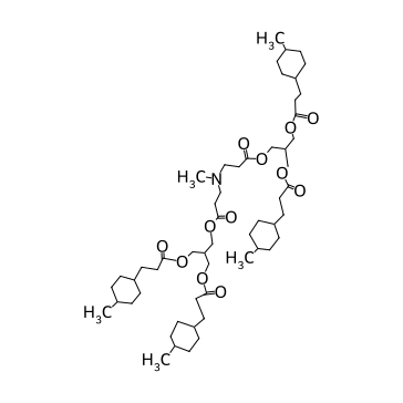 CC1CCC(CCC(=O)OCC(COC(=O)CCC2CCC(C)CC2)COC(=O)CCN(C)CCC(=O)OCC(COC(=O)CCC2CCC(C)CC2)COC(=O)CCC2CCC(C)CC2)CC1